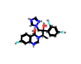 C[C@@H](n1cnc2cc(F)ccc2c1=O)[C@](O)(Cn1cncn1)c1ccc(F)cc1F